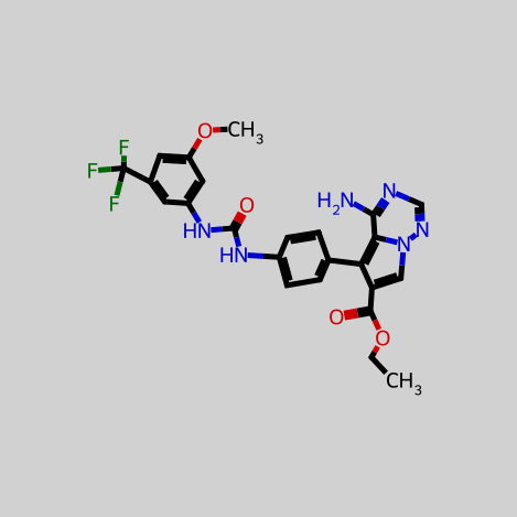 CCOC(=O)c1cn2ncnc(N)c2c1-c1ccc(NC(=O)Nc2cc(OC)cc(C(F)(F)F)c2)cc1